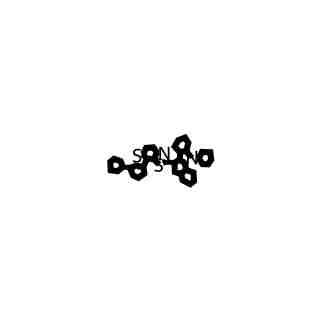 c1ccc(-c2cccc3c2sc2ccc4nc(-c5cc6ccccc6c6c5c5ccccc5n6-c5ccccc5)sc4c23)cc1